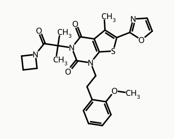 COc1ccccc1CCn1c(=O)n(C(C)(C)C(=O)N2CCC2)c(=O)c2c(C)c(-c3ncco3)sc21